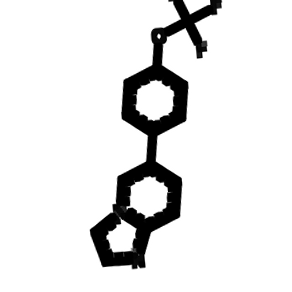 FC(F)(F)Oc1ccc(-c2ccc3nccn3c2)cc1